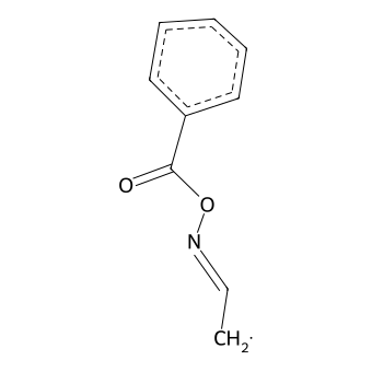 [CH2]C=NOC(=O)c1ccccc1